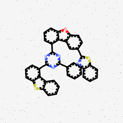 c1ccc(-c2nc(-c3cccc4oc5ccc(-c6nc7ccccc7s6)cc5c34)nc(-c3cccc4sc5ccccc5c34)n2)cc1